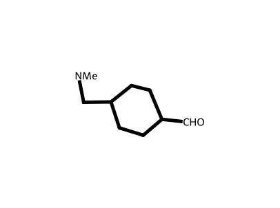 CNCC1CCC(C=O)CC1